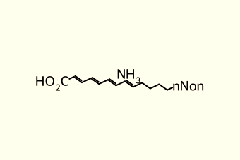 CCCCCCCCCCCCCC=CC=CC=CC=CC(=O)O.N